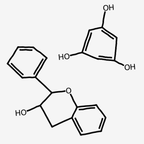 OC1Cc2ccccc2OC1c1ccccc1.Oc1cc(O)cc(O)c1